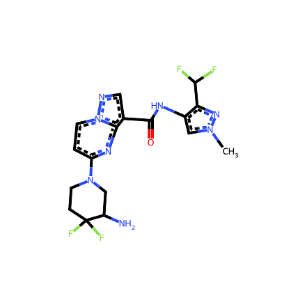 Cn1cc(NC(=O)c2cnn3ccc(N4CCC(F)(F)C(N)C4)nc23)c(C(F)F)n1